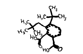 CC(C)(C)Cc1c(C(C)(C)C)ccc(C(=O)O)c1C(=O)O